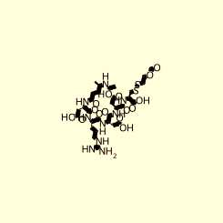 CCN[C@H](C)CCC(=O)N[C@@H](CC(=O)O)C(=O)N[C@@H](CCCNC(=N)N)C(=O)N[C@@H](CC(=O)O)C(=O)N[C@@H](CC(=O)O)C(=O)N[C@@H](CSSCCOC=O)C(=O)O